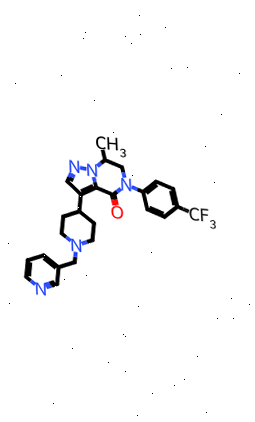 CC1CN(c2ccc(C(F)(F)F)cc2)C(=O)c2c(C3CCN(Cc4cccnc4)CC3)cnn21